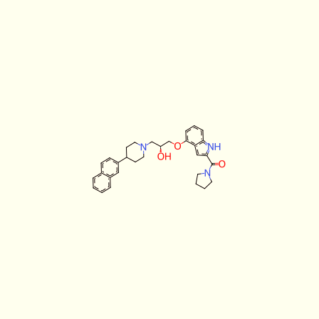 O=C(c1cc2c(OC[C@@H](O)CN3CCC(c4ccc5ccccc5c4)CC3)cccc2[nH]1)N1CCCC1